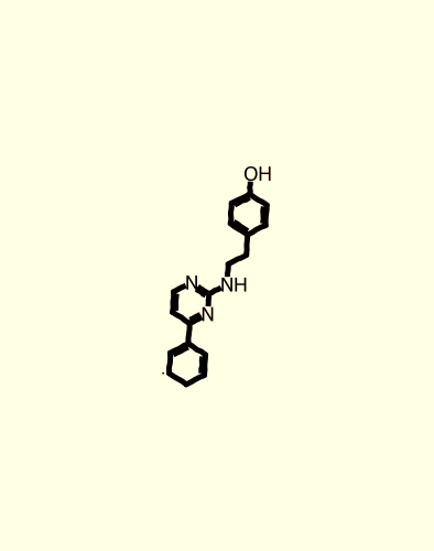 Oc1ccc(CCNc2nccc(C3=C[CH]CC=C3)n2)cc1